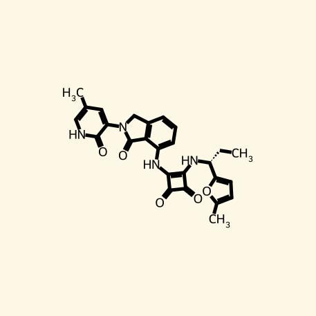 CC[C@@H](Nc1c(Nc2cccc3c2C(=O)N(c2cc(C)c[nH]c2=O)C3)c(=O)c1=O)c1ccc(C)o1